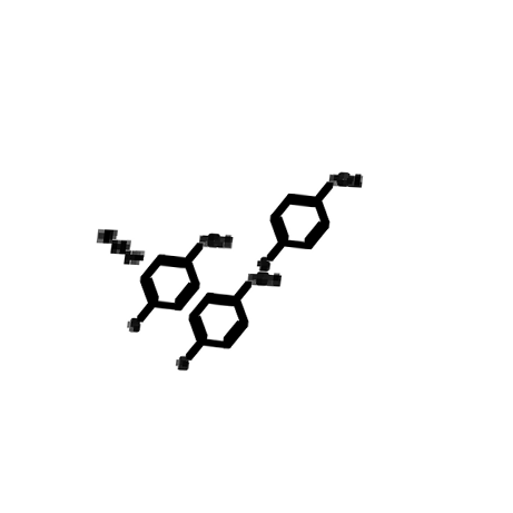 CCCCCCCCc1ccc([S])cc1.CCCCCCCCc1ccc([S])cc1.CCCCCCCCc1ccc([S])cc1.F.F.F